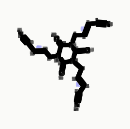 N#C/C=C/Cn1c(=O)n(C/C=C/C#N)c(=O)n(C/C=C/C#N)c1=O